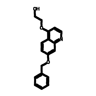 OCCOc1ccnc2cc(OCc3ccccc3)ccc12